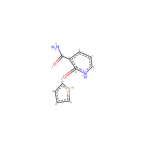 NC(=O)c1ccc[nH]c1=O.c1ccsc1